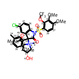 CNC(=O)[C@@H]1C[C@@H](O)C[N+]1(C)C1(c2cc(C)ccc2OC)C(=O)N(S(=O)(=O)c2ccc(OC)c(OC)c2OC(F)(F)F)c2ccc(Cl)cc21